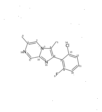 Cc1cn2c(C)c(-c3c(F)cccc3Cl)nc2cn1